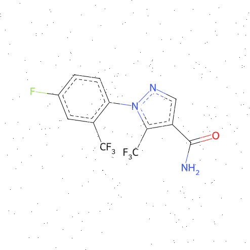 NC(=O)c1cnn(-c2ccc(F)cc2C(F)(F)F)c1C(F)(F)F